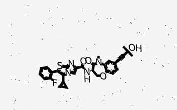 CN1C(=O)[C@@H](NC(=O)c2cn3c(C4CC4)c(-c4ccccc4F)sc3n2)COc2ccc(C#CC(C)(C)O)cc21